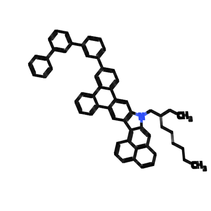 CCCCCCC(CC)Cn1c2cc3c4ccc(-c5cccc(-c6cccc(-c7ccccc7)c6)c5)cc4c4ccccc4c3cc2c2c3cccc4c3c(cc21)CC=C4